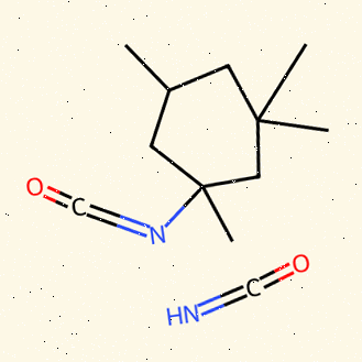 CC1CC(C)(C)CC(C)(N=C=O)C1.N=C=O